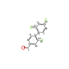 O=Cc1ccc(-c2ccc(F)cc2F)c(F)c1